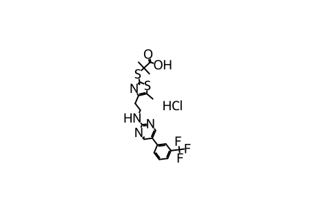 Cc1sc(SC(C)(C)C(=O)O)nc1CCNc1ncc(-c2cccc(C(F)(F)F)c2)cn1.Cl